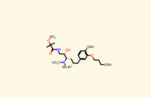 COCCCOc1cc(C[C@@H](C[C@@H]([C@@H](O)CNC(=O)C(C)(C)O[N+](=O)[O-])N(C(=O)O)C(C)(C)C)C(C)C)ccc1OC